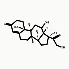 C[C@]12CCC(=O)C=C1CC[C@@H]1[C@@H]2CC(O)[C@@]2(C)[C@H]1CC[C@]2(O)C(=O)CO